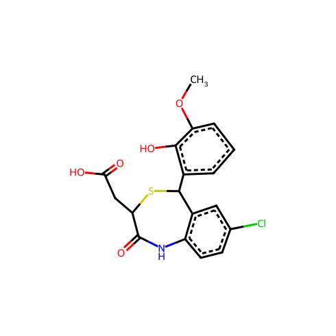 COc1cccc(C2SC(CC(=O)O)C(=O)Nc3ccc(Cl)cc32)c1O